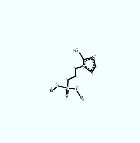 CCOP(=O)(CCCn1ccnc1C)OCC